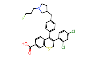 O=C(O)c1ccc2c(c1)SCC(c1ccc(Cl)cc1Cl)=C2c1ccc(CC2CCN(CCCF)C2)cc1